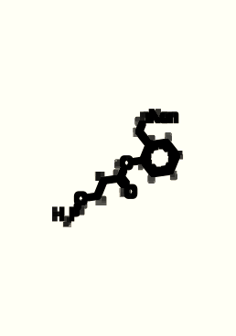 CCCCCCCCCCc1ccccc1OC(=O)CCOP